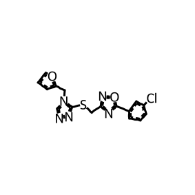 Clc1cccc(-c2nc(CSc3nncn3Cc3ccco3)no2)c1